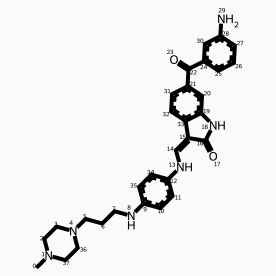 CN1CCN(CCCNc2ccc(NC=C3C(=O)Nc4cc(C(=O)c5cccc(N)c5)ccc43)cc2)CC1